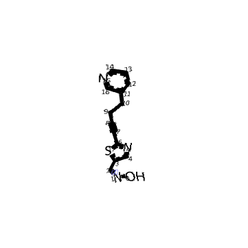 O/N=C\c1cnc(C#CCCc2cccnc2)s1